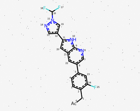 CC(=O)Cc1ccc(-c2cnc3[nH]c(-c4cnn(C(F)F)c4)cc3c2)cc1F